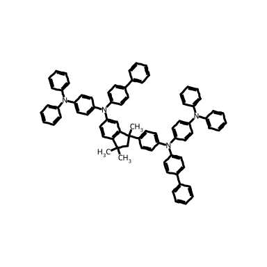 CC1(C)CC(C)(c2ccc(N(c3ccc(-c4ccccc4)cc3)c3ccc(N(c4ccccc4)c4ccccc4)cc3)cc2)c2cc(N(c3ccc(-c4ccccc4)cc3)c3ccc(N(c4ccccc4)c4ccccc4)cc3)ccc21